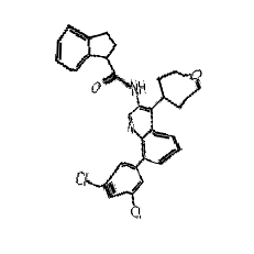 O=C(Nc1cnc2c(-c3cc(Cl)cc(Cl)c3)cccc2c1C1CCOCC1)C1CCc2ccccc21